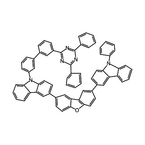 c1ccc(-c2nc(-c3ccccc3)nc(-c3cccc(-c4cccc(-n5c6ccccc6c6cc(-c7ccc8oc9ccc(-c%10ccc%11c(c%10)c%10ccccc%10n%11-c%10ccccc%10)cc9c8c7)ccc65)c4)c3)n2)cc1